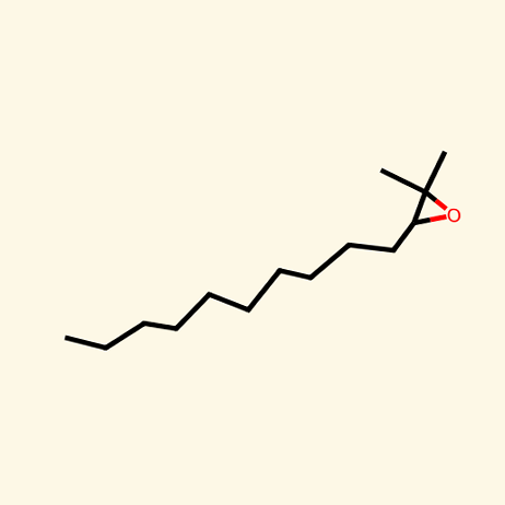 CCCCCCCCCCC1OC1(C)C